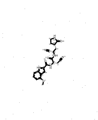 COc1cccc2[nH]c(C(=O)N[C@@H](CC#N)C(=O)N[C@H](C#N)C[C@@H]3CCNC3=O)cc12